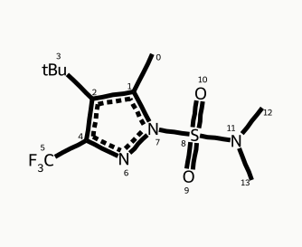 Cc1c(C(C)(C)C)c(C(F)(F)F)nn1S(=O)(=O)N(C)C